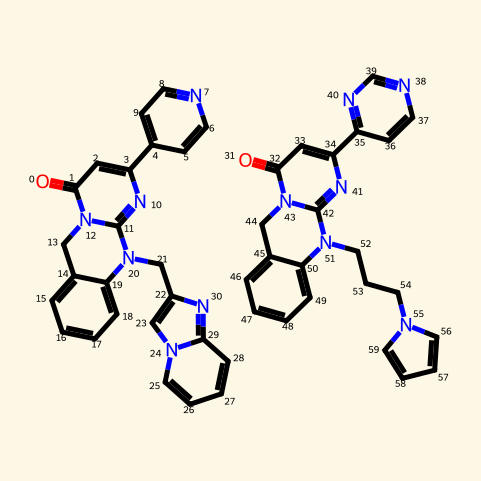 O=c1cc(-c2ccncc2)nc2n1Cc1ccccc1N2Cc1cn2ccccc2n1.O=c1cc(-c2ccncn2)nc2n1Cc1ccccc1N2CCCn1cccc1